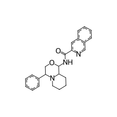 O=C(NC1OCC(c2ccccc2)N2CCCCC12)c1cc2ccccc2cn1